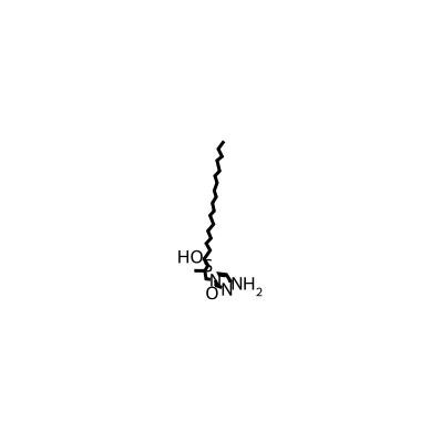 CCCCCCCCCCCCCCCCCC(O)SC(C)Cn1ccc(N)nc1=O